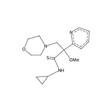 COC(CN1CCOCC1)(C(=S)NC1CC1)c1ccccn1